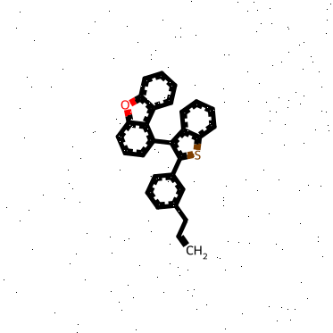 C=CCc1cc[c]c(-c2sc3ccccc3c2-c2cccc3oc4ccccc4c23)c1